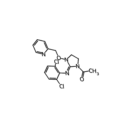 CC(=O)N1CCN(OCc2ccccn2)/C1=N\c1c(Cl)cccc1Cl